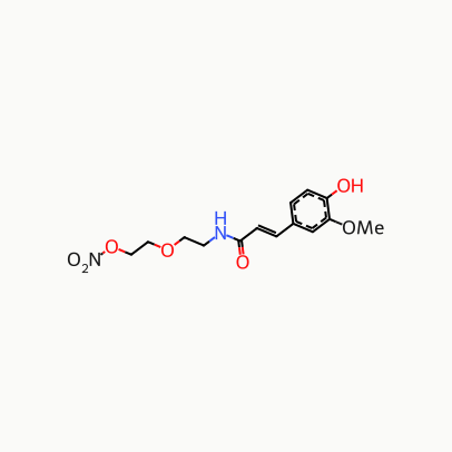 COc1cc(/C=C/C(=O)NCCOCCO[N+](=O)[O-])ccc1O